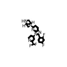 Fc1ccc(-c2nc3ccc(N4C[C@H]5C[C@@H]4CN5)nc3n2-c2ccnc(C(F)F)c2)c(F)c1